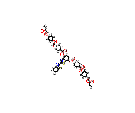 C=CC(=O)COc1ccc(OC(=O)[C@H]2CC[C@H](C(=O)Oc3ccc(OC(=O)[C@H]4CC[C@H](C(=O)Oc5ccc(COC(=O)C=C)cc5)CC4)c4sc(-c5nc6ccccc6s5)nc34)CC2)cc1